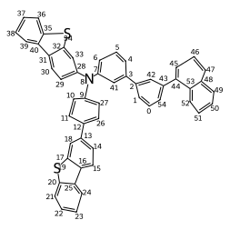 c1cc(-c2cccc(N(c3ccc(-c4ccc5c(c4)sc4ccccc45)cc3)c3ccc4c(c3)sc3ccccc34)c2)cc(-c2cccc3ccccc23)c1